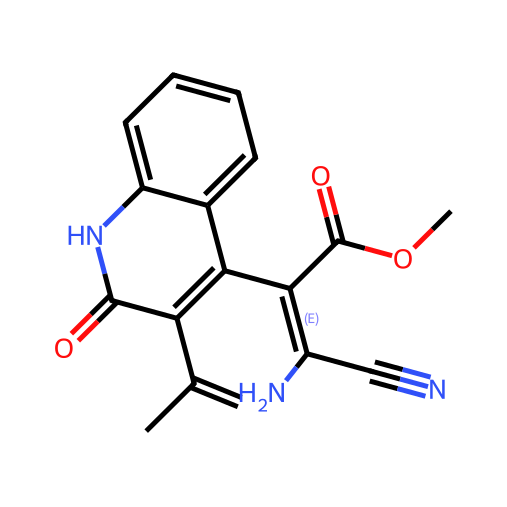 C=C(C)c1c(/C(C(=O)OC)=C(\N)C#N)c2ccccc2[nH]c1=O